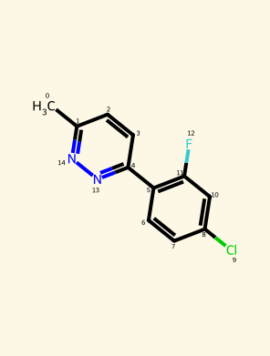 Cc1ccc(-c2ccc(Cl)cc2F)nn1